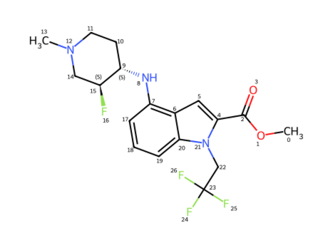 COC(=O)c1cc2c(N[C@H]3CCN(C)C[C@@H]3F)cccc2n1CC(F)(F)F